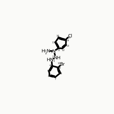 NN(NNc1ccccc1Br)c1ccc(Cl)cc1